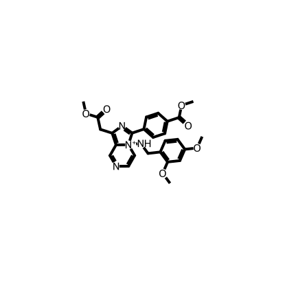 COC(=O)CC1=C2C=NC=C[N+]2(NCc2ccc(OC)cc2OC)C(c2ccc(C(=O)OC)cc2)=N1